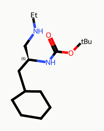 CCNC[C@H](CC1CCCCC1)NC(=O)OC(C)(C)C